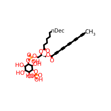 CC#CC#CC#CC#CC#CC(=O)OC[C@H](COP(=O)(O)OC1C(O)[C@@H](OP(=O)(O)O)C(O)[C@@H](O)[C@H]1O)OC(=O)CCCCCCCCCCCCCCC